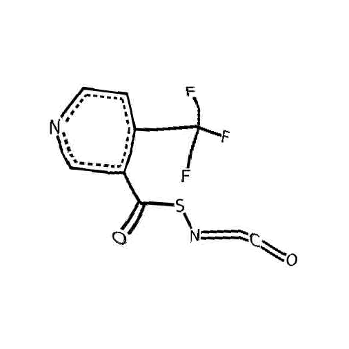 O=C=NSC(=O)c1cnccc1C(F)(F)F